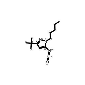 CCCCCn1nc(C(C)(C)C)cc1N=C=O